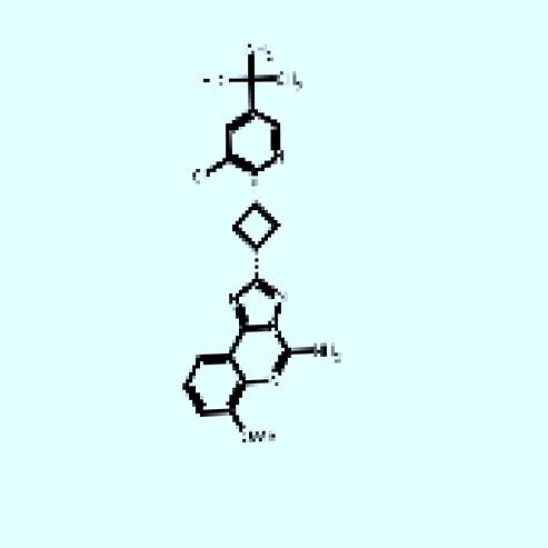 COc1cccc2c1nc(N)n1nc([C@H]3C[C@@H](c4ncc(C(C)(C)N)cc4Cl)C3)nc21